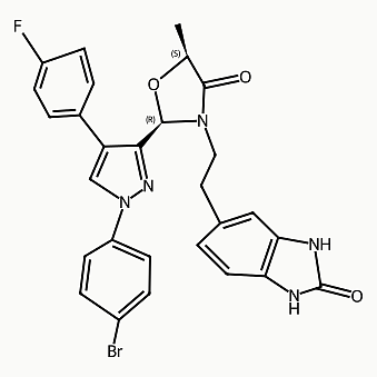 C[C@@H]1O[C@H](c2nn(-c3ccc(Br)cc3)cc2-c2ccc(F)cc2)N(CCc2ccc3[nH]c(=O)[nH]c3c2)C1=O